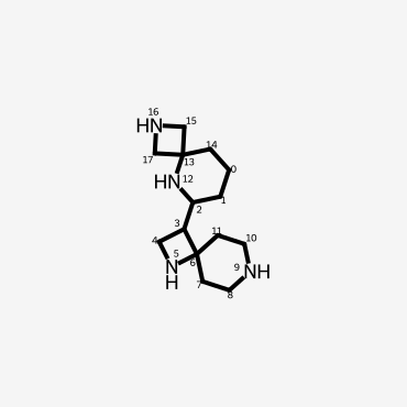 C1CC(C2CNC23CCNCC3)NC2(C1)CNC2